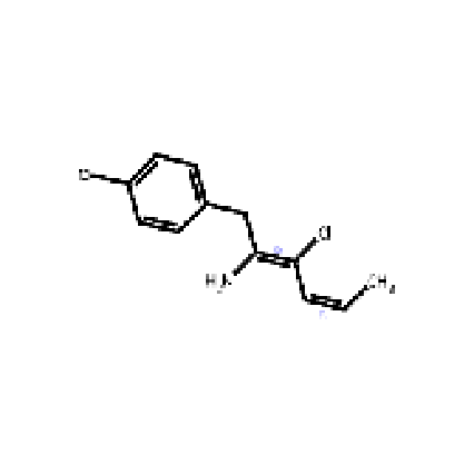 C/C=C\C(Cl)=C(/N)Cc1ccc(Cl)cc1